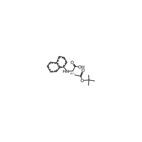 CC(C)(C)OC(=O)C[C@H](Nc1cccc2ccccc12)C(=O)O